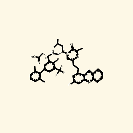 Cc1cccc(C)c1-c1cc([C@H](CC(=O)O)NC[C@H](CC(C)C)n2cc(CCc3cc(F)cc4nc5ccccc5cc34)nc(C)c2=O)c(F)c(C(F)(F)F)c1